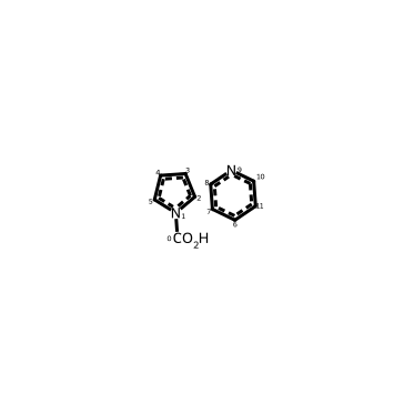 O=C(O)n1cccc1.c1ccncc1